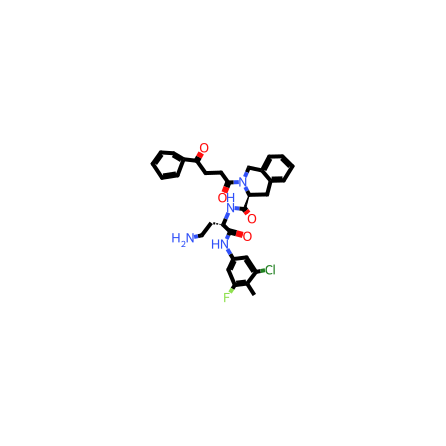 Cc1c(F)cc(NC(=O)[C@H](CCN)NC(=O)[C@@H]2Cc3ccccc3CN2C(=O)CCC(=O)c2ccccc2)cc1Cl